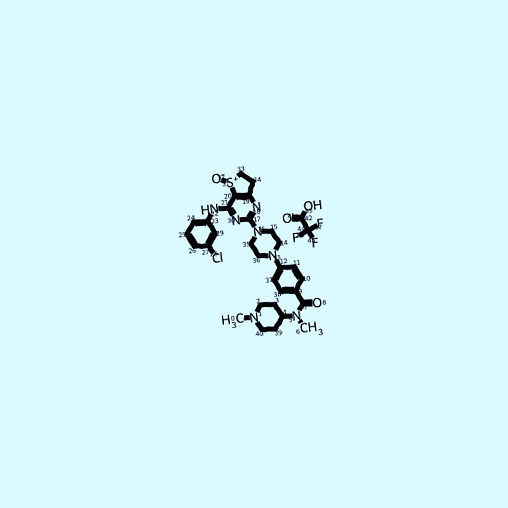 CN1CCC(N(C)C(=O)c2ccc(N3CCN(c4nc5c(c(Nc6cccc(Cl)c6)n4)[S+]([O-])CC5)CC3)cc2)CC1.O=C(O)C(F)(F)F